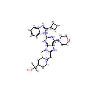 Cn1c(CN2CCC(C(C)(C)O)CC2)nc2c(N3CCOCC3)nc(-n3c(C4CCC4)nc4ccccc43)nc21